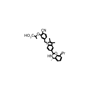 Cc1c(C)n(Cc2ccc(C#N)c(OC(C)C(=O)O)c2)c2ccc(C(=O)N[C@@H](C)c3cccc(C(C)C)c3)cc12